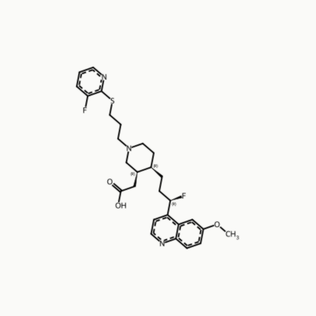 COc1ccc2nccc([C@H](F)CC[C@@H]3CCN(CCCSc4ncccc4F)C[C@@H]3CC(=O)O)c2c1